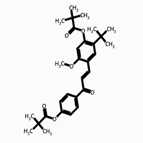 COc1cc(OC(=O)C(C)(C)C)c(C(C)(C)C)cc1C=CC(=O)c1ccc(OC(=O)C(C)(C)C)cc1